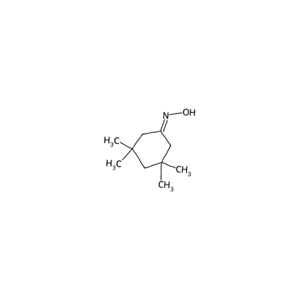 CC1(C)CC(=NO)CC(C)(C)C1